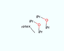 CC(C)OC(C)C.CC(C)OC(C)C.CCCCCCC